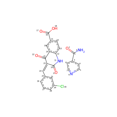 NC(=O)c1ccncc1.O=C1Nc2ccc(C(=O)O)cc2C(=O)/C1=C/c1cccc(Cl)c1